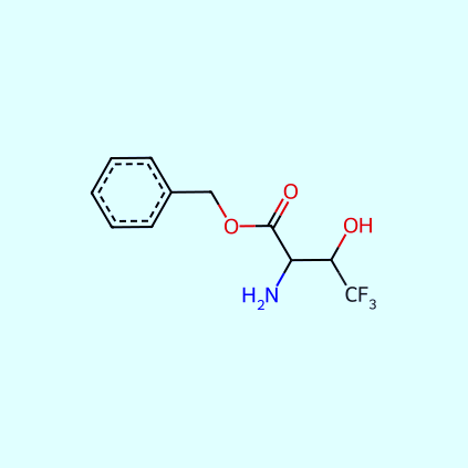 NC(C(=O)OCc1ccccc1)C(O)C(F)(F)F